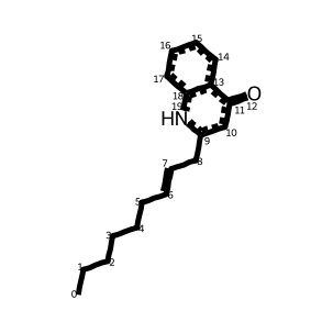 CCCCCC/C=C/Cc1cc(=O)c2ccccc2[nH]1